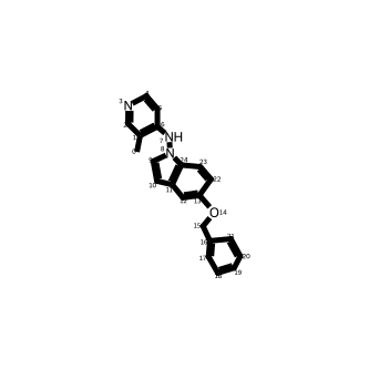 Cc1cnccc1Nn1ccc2cc(OCc3ccccc3)ccc21